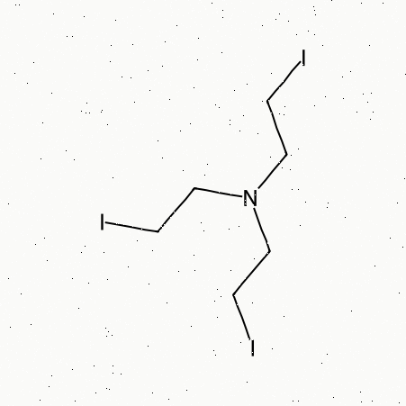 ICCN(CCI)CCI